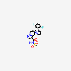 CC1(N2CCC[C@@H]2c2cc(F)ccc2F)C=Cn2ncc(C(=O)NS(C)(=O)=O)c2C1